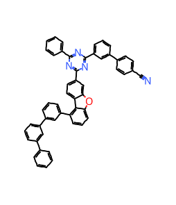 N#Cc1ccc(-c2cccc(-c3nc(-c4ccccc4)nc(-c4ccc5c(c4)oc4cccc(-c6cccc(-c7cccc(-c8ccccc8)c7)c6)c45)n3)c2)cc1